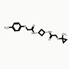 Cc1ccc(OCC(=O)N[C@H]2C[C@@H](NC(=O)COC3(C)CC3)C2)cc1